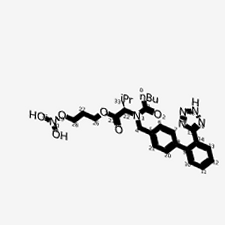 CCCCC(=O)N(Cc1ccc(-c2ccccc2-c2nn[nH]n2)cc1)[C@H](C(=O)OCCCON(O)O)C(C)C